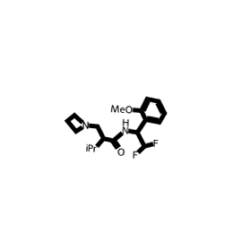 COc1ccccc1C(NC(=O)C(CN1CCC1)C(C)C)C(F)F